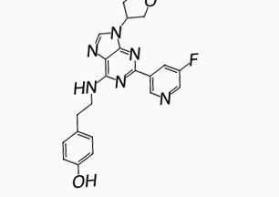 Oc1ccc(CCNc2nc(-c3cncc(F)c3)nc3c2ncn3C2CCOC2)cc1